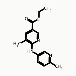 CCOC(=O)c1cnc(Nc2ccc(C)nc2)c(C)c1